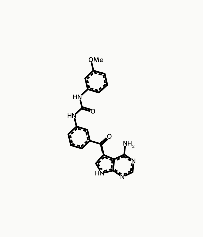 COc1cccc(NC(=O)Nc2cccc(C(=O)c3c[nH]c4ncnc(N)c34)c2)c1